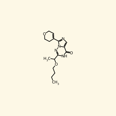 CCCCOC(C)c1nn2c(C3=CCOCC3)ncc2c(=O)[nH]1